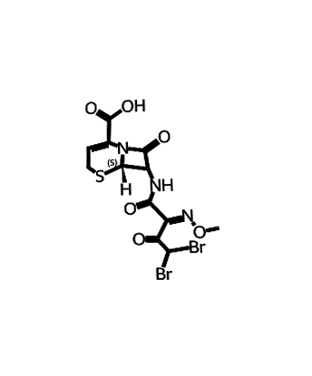 CON=C(C(=O)NC1C(=O)N2C(C(=O)O)=CCS[C@@H]12)C(=O)C(Br)Br